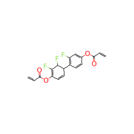 C=CC(=O)OC1=C(F)C(F)C(c2ccc(OC(=O)C=C)cc2F)C=C1